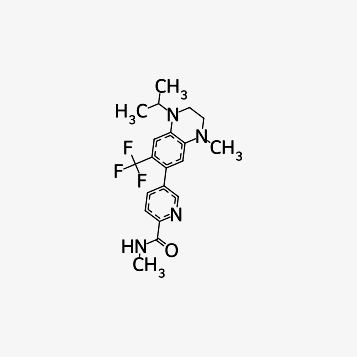 CNC(=O)c1ccc(-c2cc3c(cc2C(F)(F)F)N(C(C)C)CCN3C)cn1